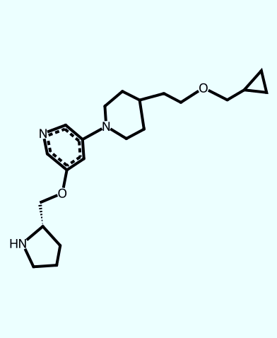 c1ncc(N2CCC(CCOCC3CC3)CC2)cc1OC[C@@H]1CCCN1